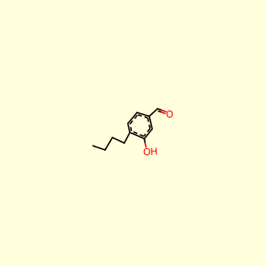 CCCCc1ccc(C=O)cc1O